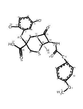 COc1ccc(CC(=O)NC2C(=O)N3CC(Sc4cc(Cl)ccc4Cl)(C(=O)O)CS[C@H]23)cc1